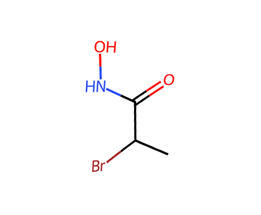 CC(Br)C(=O)NO